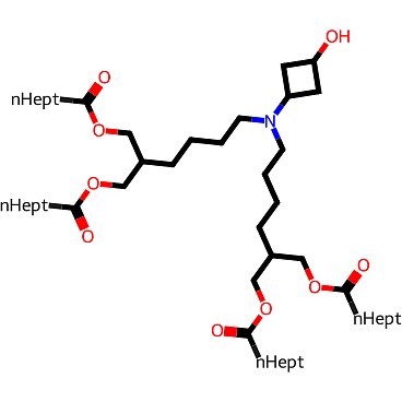 CCCCCCCC(=O)OCC(CCCCN(CCCCC(COC(=O)CCCCCCC)COC(=O)CCCCCCC)C1CC(O)C1)COC(=O)CCCCCCC